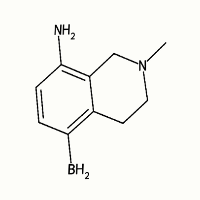 Bc1ccc(N)c2c1CCN(C)C2